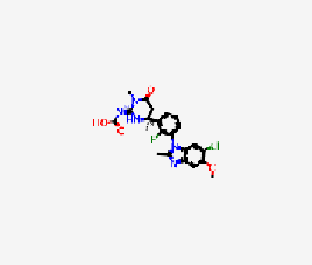 COc1cc2nc(C)n(-c3cccc([C@]4(C)CC(=O)N(C)/C(=N/C(=O)O)N4)c3F)c2cc1Cl